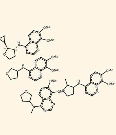 COc1ccc2c(N(C)C3CCOC3)ncnc2c1OC.COc1ccc2c(NC3CCOC3)ncnc2c1OC.COc1ccc2c(NC3CCOC3C)ncnc2c1OC.COc1ccc2c(N[C@@H]3CCO[C@H]3C3CC3)ncnc2c1OC